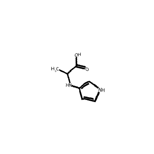 CC(Nc1cc[nH]c1)C(=O)O